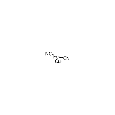 N#[C][Fe][C]#N.[Cu]